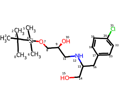 CC(C)(C)[Si](C)(C)OC[C@@H](O)CNC(CO)Cc1ccc(Cl)cc1